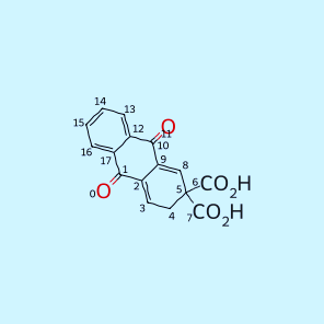 O=C1C2=CCC(C(=O)O)(C(=O)O)C=C2C(=O)c2ccccc21